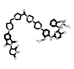 COc1cc(N2CCC(N3CCN(C(=O)C4CCN(CC5CCN(c6ccc7c(c6)C(=O)N(C6CCC(=O)NC6=O)C7=O)CC5)CC4)CC3)CC2)ccc1Nc1ncc(Cl)c(Nc2ccccc2NS(C)(=O)=O)n1